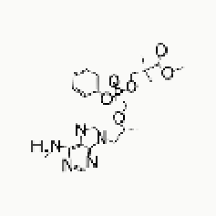 COC(=O)C(C)(C)COP(=O)(CO[C@H](C)Cn1cnc2c(N)ncnc21)Oc1ccccc1